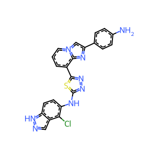 Nc1ccc(-c2cn3cccc(-c4nnc(Nc5ccc6[nH]ncc6c5Cl)s4)c3n2)cc1